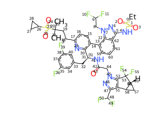 CCS(=O)(=O)Nc1nn(CC(F)F)c2c(-c3ccc(CCC(C)(C)S(=O)(=O)C4CC4)nc3[C@H](Cc3cc(F)cc(F)c3)NC(=O)Cn3nc(C(F)F)c4c3C(F)(F)[C@@H]3CC43)cccc12